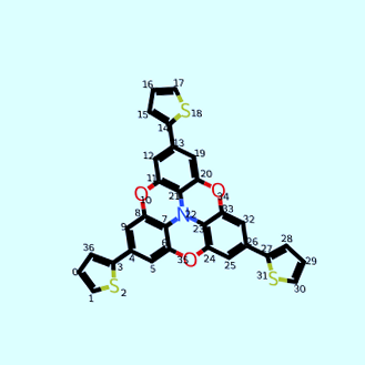 c1csc(-c2cc3c4c(c2)Oc2cc(-c5cccs5)cc5c2N4c2c(cc(-c4cccs4)cc2O5)O3)c1